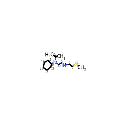 CSCCNCCN(C(C)C)C1CCCCC1